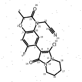 CC1Oc2cc(F)c(-c3c(Cl)n4n(c3=O)CCCC4)cc2N(CC#N)C1=O